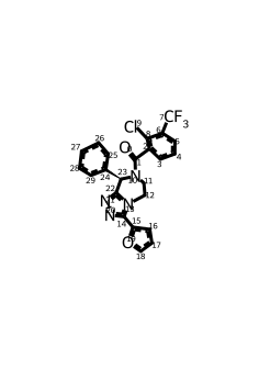 O=C(c1cccc(C(F)(F)F)c1Cl)N1CCn2c(-c3ccco3)nnc2[C@H]1c1ccccc1